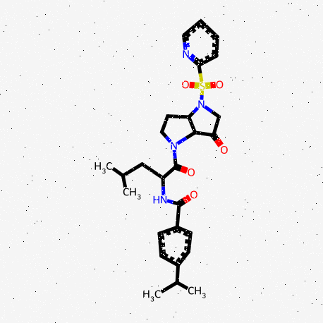 CC(C)CC(NC(=O)c1ccc(C(C)C)cc1)C(=O)N1CCC2C1C(=O)CN2S(=O)(=O)c1ccccn1